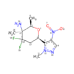 C[C@H]1O[C@@H](c2c([N+](=O)[O-])cnn2C)CC(F)(F)[C@@]1(C)N